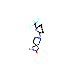 O=C1CC2(CCN(c3cccc(C(F)(F)F)n3)CC2)CN1